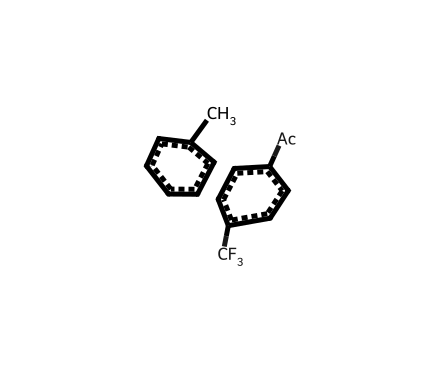 CC(=O)c1ccc(C(F)(F)F)cc1.Cc1ccccc1